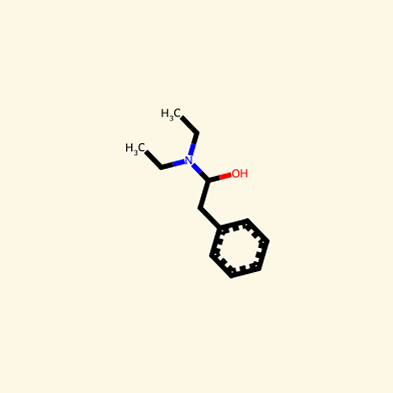 CCN(CC)C(O)Cc1ccccc1